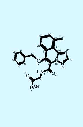 COC(=O)CNC(=O)c1c(OCc2ccccc2)c2cccc(C)c2c2ncnn12